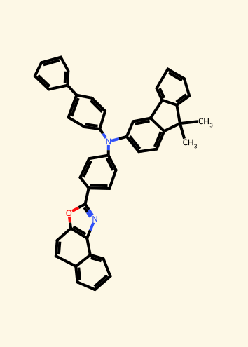 CC1(C)c2ccccc2-c2cc(N(c3ccc(-c4ccccc4)cc3)c3ccc(-c4nc5c(ccc6ccccc65)o4)cc3)ccc21